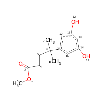 COC(=O)CCC(C)(C)c1cc(O)cc(O)c1